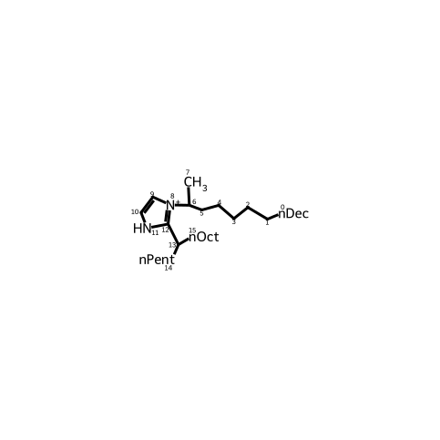 CCCCCCCCCCCCCCCC(C)[n+]1cc[nH]c1C(CCCCC)CCCCCCCC